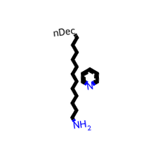 CCCCCCCCCCCCCCCCCCCCCCN.c1ccncc1